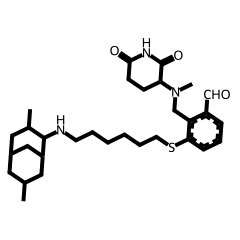 CC1CC2CC(C)C(NCCCCCCSc3cccc(C=O)c3CN(C)C3CCC(=O)NC3=O)C(C1)C2